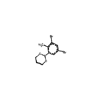 Cc1c(Br)cc(Br)cc1B1OCCCO1